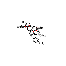 COC(=O)CN(CC(=O)OC)[C@H](Cc1ccc(C)cc1)CN(CC(=O)OC)[C@H]1CCCC[C@@H]1N(CC(=O)O)CC(=O)OC